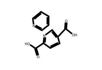 O=C(O)c1ccc(C(=O)O)nc1.c1ccncc1